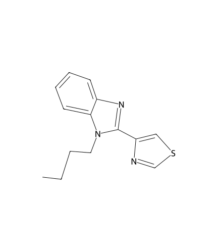 CCCCn1c(-c2cscn2)nc2ccccc21